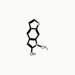 Cn1c(O)cc2cc3ccsc3cc21